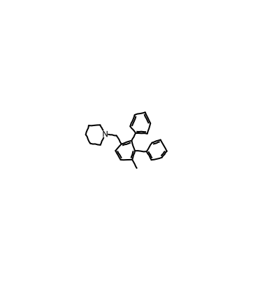 Cc1ccc(CN2CCCCC2)c(-c2ccccc2)c1-c1ccccc1